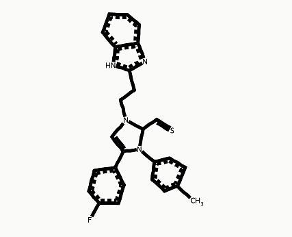 Cc1ccc(N2C(c3ccc(F)cc3)=CN(CCc3nc4ccccc4[nH]3)C2C=S)cc1